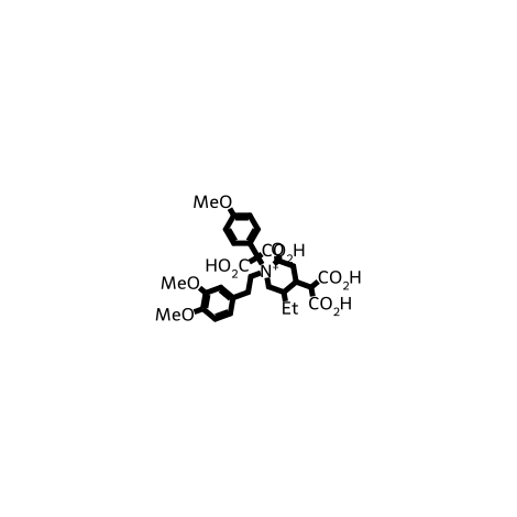 CCC1C[N+](CCc2ccc(OC)c(OC)c2)(C(C(=O)O)(C(=O)O)c2ccc(OC)cc2)C(=O)CC1C(C(=O)O)C(=O)O